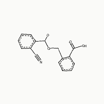 N#Cc1ccccc1C([O])OCc1ccccc1C(=O)O